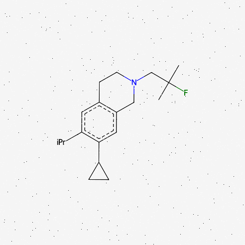 CC(C)c1cc2c(cc1C1CC1)CN(CC(C)(C)F)CC2